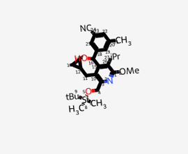 COc1nc(CO[Si](C)(C)C(C)(C)C)c(CC2CC2)c(C(O)c2cc(C)cc(C#N)c2)c1C(C)C